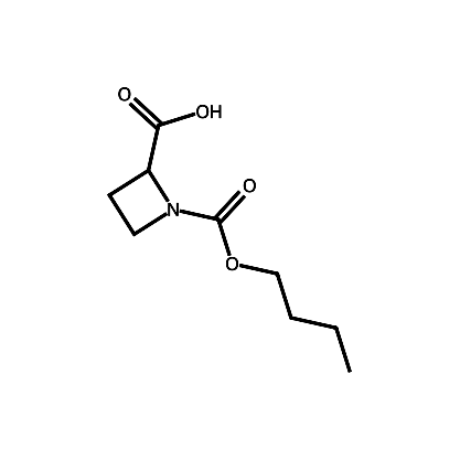 CCCCOC(=O)N1CCC1C(=O)O